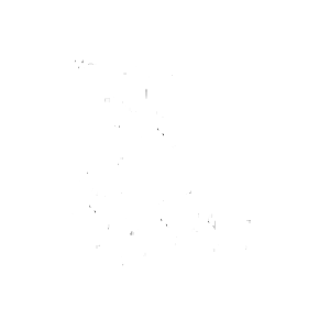 COc1cc(C)c(SN(C)CCOCC(=O)N(C)[C@H]2CCC[C@@H](N3CC[C@H](N4CCCC4)C3)C2)c(C)c1